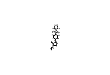 Cn1c(C#N)ccc1-c1ccc(S(=O)(=O)N2CCCC2)cc1